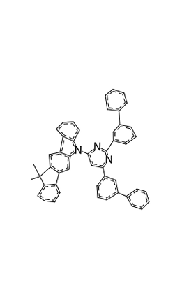 CC1(C)c2ccccc2-c2cc3c(cc21)c1ccccc1n3-c1cc(-c2cccc(-c3ccccc3)c2)nc(-c2cccc(-c3ccccc3)c2)n1